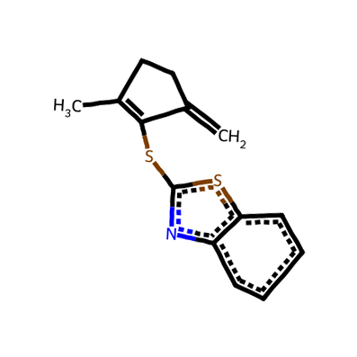 C=C1CCC(C)=C1Sc1nc2ccccc2s1